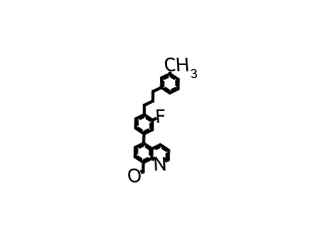 Cc1cccc(CCCc2ccc(-c3ccc(C=O)c4ncccc34)cc2F)c1